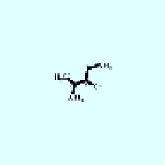 [CH2]C(C)[C](C)CC